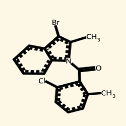 Cc1cccc(Cl)c1C(=O)n1c(C)c(Br)c2ccccc21